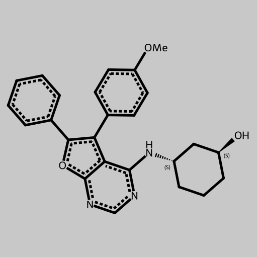 COc1ccc(-c2c(-c3ccccc3)oc3ncnc(N[C@H]4CCC[C@H](O)C4)c23)cc1